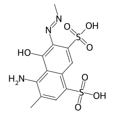 CN=Nc1c(S(=O)(=O)O)cc2c(S(=O)(=O)O)cc(C)c(N)c2c1O